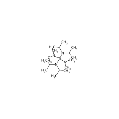 CC(C)[N](C(C)C)[Ti]([N](C)C)([N](C)C)[N](C(C)C)C(C)C